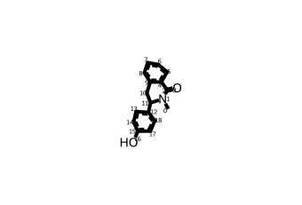 CN1C(=O)c2ccccc2CC1c1ccc(O)cc1